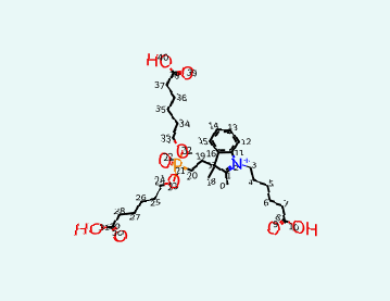 CC1=[N+](CCCCCC(=O)O)c2ccccc2C1(C)CCP(=O)(OCCCCCC(=O)O)OCCCCCC(=O)O